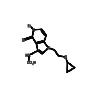 CCn1ccc2c(c(NC(=O)O)cn2CCOC2CC2)c1=O